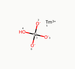 [O-][Si]([O-])([O-])O.[Tm+3]